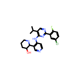 CC(C)c1cnc(-c2cc(Cl)ccc2F)nc1Nc1ccncc1C1[N]CCCC1O